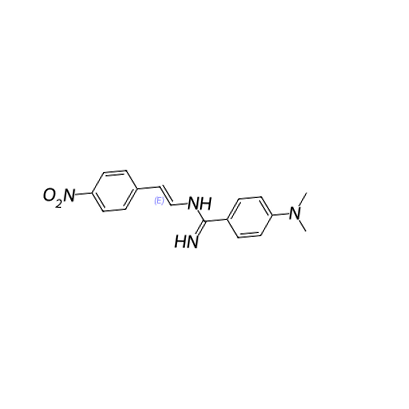 CN(C)c1ccc(C(=N)N/C=C/c2ccc([N+](=O)[O-])cc2)cc1